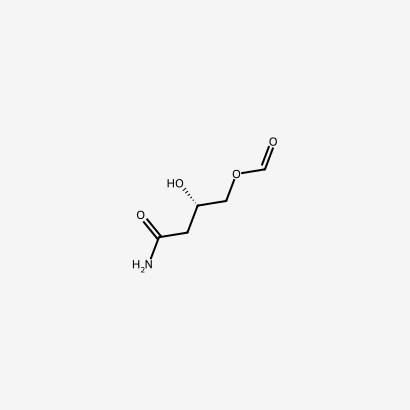 NC(=O)C[C@H](O)COC=O